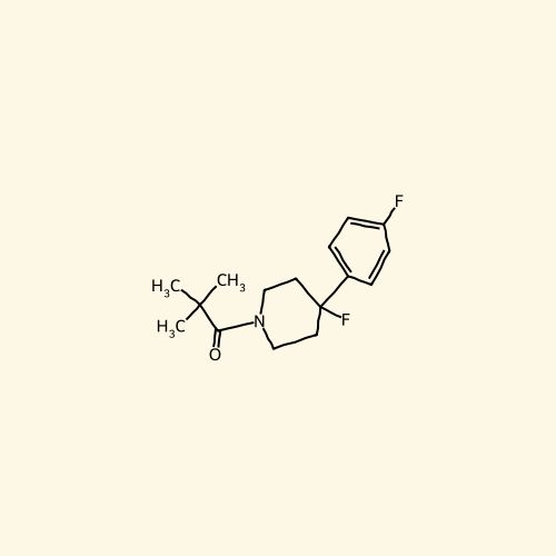 CC(C)(C)C(=O)N1CCC(F)(c2ccc(F)cc2)CC1